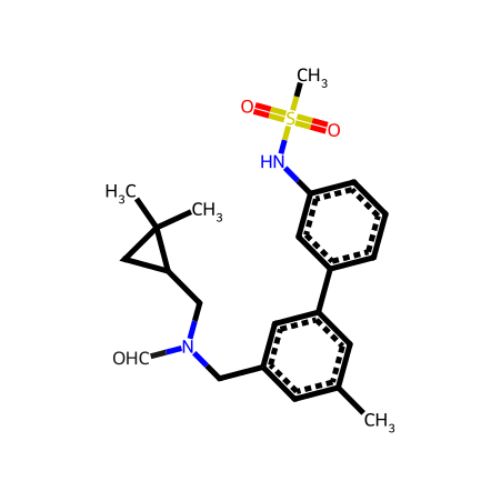 Cc1cc(CN(C=O)CC2CC2(C)C)cc(-c2cccc(NS(C)(=O)=O)c2)c1